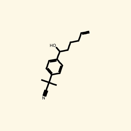 C=CCCCC(O)c1ccc(C(C)(C)C#N)cc1